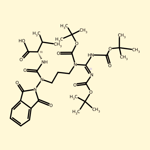 CC(C)[C@H](NC(=O)N(CCCN(C(=O)OC(C)(C)C)/C(=N\C(=O)OC(C)(C)C)NC(=O)OC(C)(C)C)N1C(=O)c2ccccc2C1=O)C(=O)O